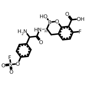 NC(C(=O)N[C@H]1Cc2ccc(F)c(C(=O)O)c2OB1O)c1ccc(OS(=O)(=O)F)cc1